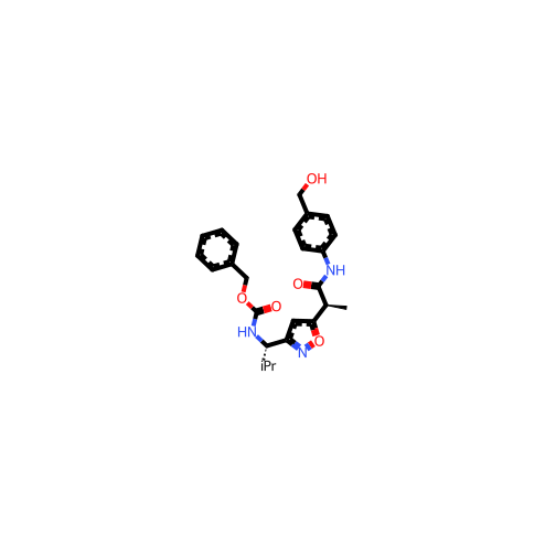 CC(C)[C@H](NC(=O)OCc1ccccc1)c1cc([C@H](C)C(=O)Nc2ccc(CO)cc2)on1